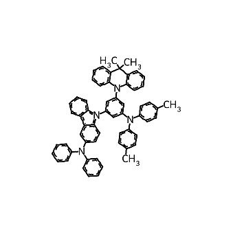 Cc1ccc(N(c2ccc(C)cc2)c2cc(N3c4ccccc4C(C)(C)c4ccccc43)cc(-n3c4ccccc4c4cc(N(c5ccccc5)c5ccccc5)ccc43)c2)cc1